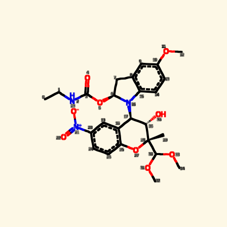 CCNC(=O)O[C@H]1Cc2cc(OC)ccc2N1[C@@H]1c2cc([N+](=O)[O-])ccc2O[C@@](C)(C(OC)OC)[C@H]1O